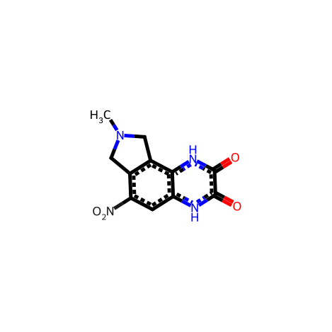 CN1Cc2c([N+](=O)[O-])cc3[nH]c(=O)c(=O)[nH]c3c2C1